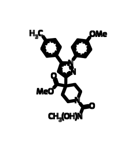 COC(=O)C1(c2cc(-c3ccc(C)cc3)n(-c3ccc(OC)cc3)n2)CCN(C(=O)N(C)O)CC1